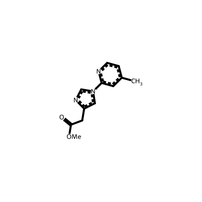 COC(=O)Cc1cn(-c2cc(C)ccn2)cn1